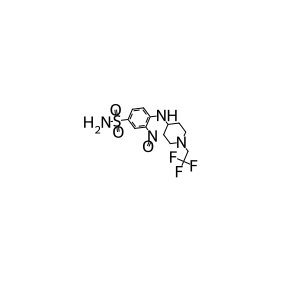 NS(=O)(=O)c1ccc(NC2CCN(CC(F)(F)F)CC2)c(N=O)c1